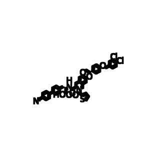 N#Cc1ccc(-c2ccc(C[C@H](NC(=O)C3Cc4cc5c(cc4CN3C(=O)c3cccs3)O[C@@H](c3ccc(OCc4ccc(Cl)c(Cl)c4)cc3)CO5)C(=O)O)cc2)cc1